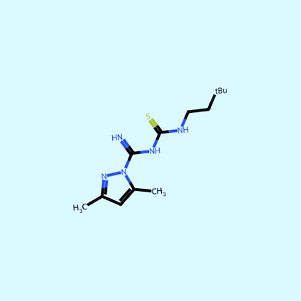 Cc1cc(C)n(C(=N)NC(=S)NC[CH]C(C)(C)C)n1